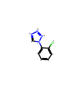 Clc1ccccc1-n1cnnn1